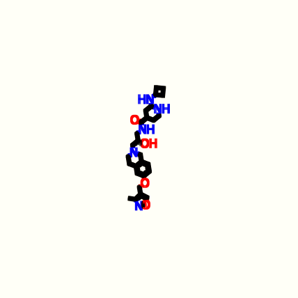 Cc1nocc1COc1ccc2c(c1)CCN(C[C@@H](O)CNC(=O)C1CCNC(NC3CCC3)C1)C2